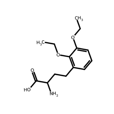 CCOc1cccc(CCC(N)C(=O)O)c1OCC